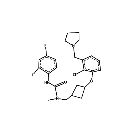 CN(CC1CC(Oc2cccc(CN3CCCC3)c2Cl)C1)C(=O)Nc1ccc(F)cc1F